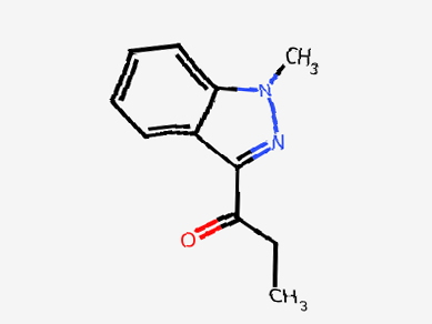 CCC(=O)c1nn(C)c2ccccc12